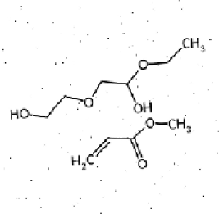 C=CC(=O)OC.CCOC(O)COCCO